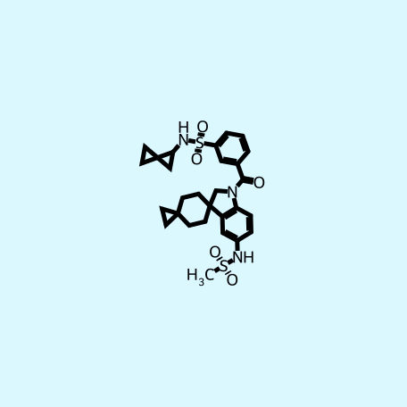 CS(=O)(=O)Nc1ccc2c(c1)C1(CCC3(CC3)CC1)CN2C(=O)c1cccc(S(=O)(=O)NC2CC23CC3)c1